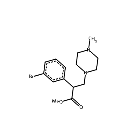 COC(=O)C(CN1CCN(C)CC1)c1cccc(Br)c1